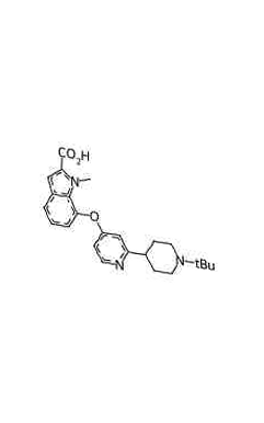 Cn1c(C(=O)O)cc2cccc(Oc3ccnc(C4CCN(C(C)(C)C)CC4)c3)c21